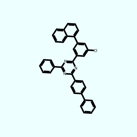 Clc1cc(-c2nc(-c3ccccc3)nc(-c3ccc(-c4ccccc4)cc3)n2)cc(-c2cccc3ccccc23)c1